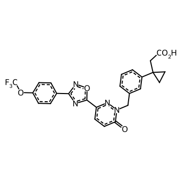 O=C(O)CC1(c2cccc(Cn3nc(-c4nc(-c5ccc(OC(F)(F)F)cc5)no4)ccc3=O)c2)CC1